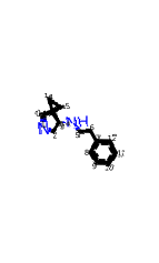 C1=NC[C@@H](NCCc2ccccc2)C12CC2